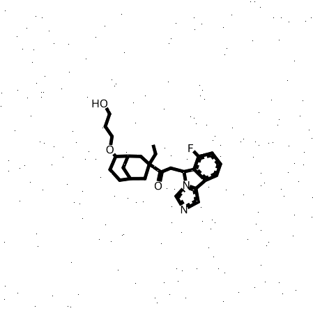 CCC1(C(=O)CC2c3c(F)cccc3-c3cncn32)CC2CCC(OCCCO)C(C2)C1